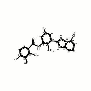 Cc1c(NC(=O)c2ccc(F)c(F)c2Cl)cc(F)cc1-c1nc2cccc(Cl)n2n1